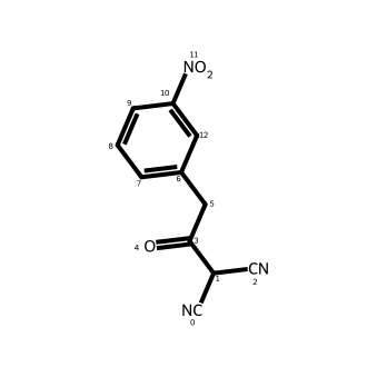 N#CC(C#N)C(=O)Cc1cccc([N+](=O)[O-])c1